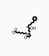 COC(=O)CCCCCCN1C(=O)CC[C@@H]1C=C[C@@H](O)[C@@H](C)CCCCc1ccccc1